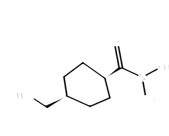 CC[C@H]1CC[C@@H](C(=O)N(C)C)CC1